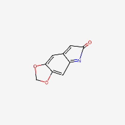 O=C1C=c2cc3c(cc2=N1)OCO3